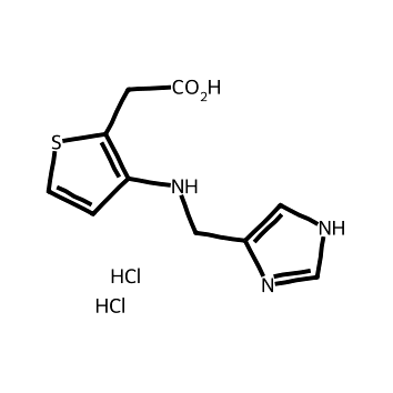 Cl.Cl.O=C(O)Cc1sccc1NCc1c[nH]cn1